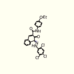 CCOc1ccc(NC(=O)C2=Cc3ccccc3/C(=N\Nc3cc(Cl)c(Cl)cc3Cl)C2=O)cc1